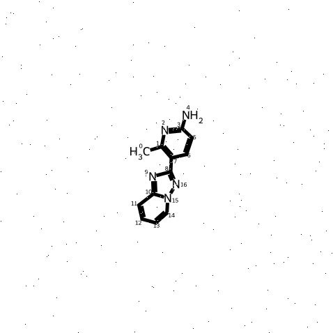 Cc1nc(N)ccc1-c1nc2ccccn2n1